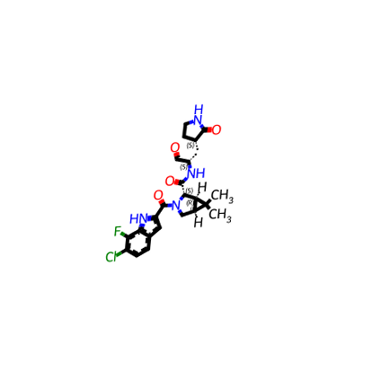 CC1(C)[C@@H]2[C@@H](C(=O)N[C@H](C=O)C[C@@H]3CCNC3=O)N(C(=O)c3cc4ccc(Cl)c(F)c4[nH]3)C[C@@H]21